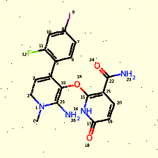 CN1CC=C(c2ccc(I)cc2F)C(Oc2[nH]c(=O)ccc2C(N)=O)=C1N